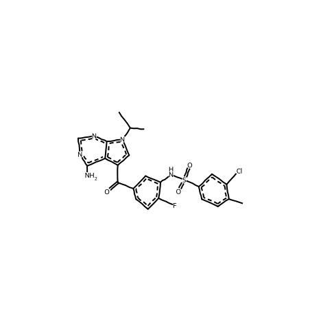 Cc1ccc(S(=O)(=O)Nc2cc(C(=O)c3cn(C(C)C)c4ncnc(N)c34)ccc2F)cc1Cl